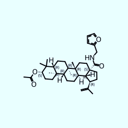 C=C(C)[C@@H]1CC[C@]2(C(=O)NCc3ccco3)CC[C@]3(C)[C@H](CC[C@@H]4[C@@]5(C)CC[C@H](OC(C)=O)C(C)(C)[C@@H]5CC[C@]43C)[C@@H]12